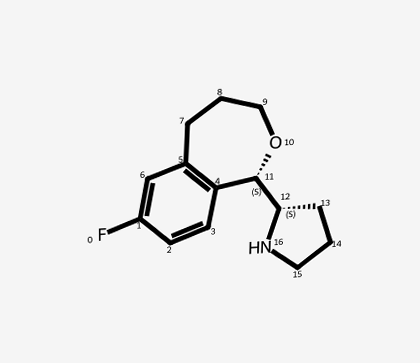 Fc1ccc2c(c1)CCCO[C@@H]2[C@@H]1CCCN1